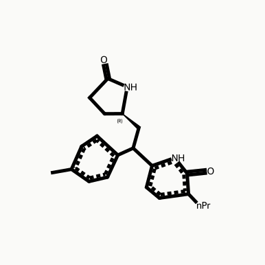 CCCc1ccc(C(C[C@H]2CCC(=O)N2)c2ccc(C)cc2)[nH]c1=O